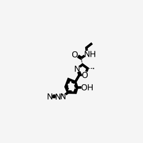 CCNC(=O)[C@H]1N=C(c2ccc(N=[N+]=[N-])cc2O)O[C@H]1C